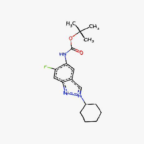 CC(C)(C)OC(=O)Nc1cc2cn(C3CCCCC3)nc2cc1F